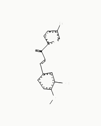 COc1ccc(C=CC(=O)c2ccc(Br)cc2)cc1O